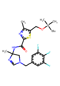 Cc1nc(C(=O)NC2(C)CN(Cc3cc(F)c(F)c(F)c3)C=N2)sc1CO[Si](C)(C)C(C)(C)C